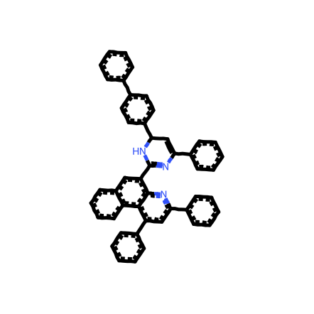 C1=C(c2ccccc2)N=C(c2cc3ccccc3c3c(-c4ccccc4)cc(-c4ccccc4)nc23)NC1c1ccc(-c2ccccc2)cc1